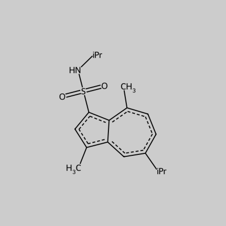 Cc1cc(S(=O)(=O)NC(C)C)c2c(C)ccc(C(C)C)cc1-2